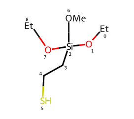 CCO[Si](CCS)(OC)OCC